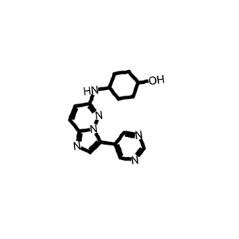 OC1CCC(Nc2ccc3ncc(-c4cncnc4)n3n2)CC1